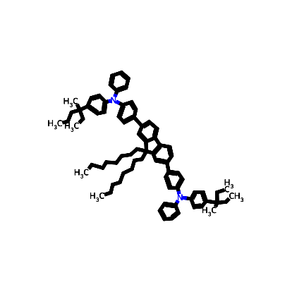 CCCCCCCCC1(CCCCCCCC)c2cc(-c3ccc(N(c4ccccc4)c4ccc(C(C)(CC)CC)cc4)cc3)ccc2-c2ccc(-c3ccc(N(c4ccccc4)c4ccc(C(C)(CC)CCC)cc4)cc3)cc21